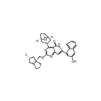 O=c1[nH]c(-c2cc(O)cc3ccccc23)cc2nc(OC[C@@]34CCCN3C[C@H](F)C4)nc(N3C[C@H]4CC[C@@H](C3)N4)c12